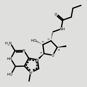 CCCC(=O)NC[C@H]1[C@@H](O)[C@H](n2c[n+](C)c3c2N=C(N)NC3O)O[C@@H]1C